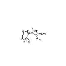 CCc1c(O)nn(C)c1-c1ccccc1C